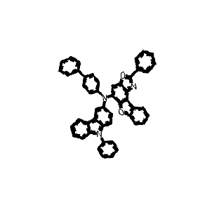 c1ccc(-c2ccc(N(c3ccc4c(c3)c3ccccc3n4-c3ccccc3)c3cc4oc(-c5ccccc5)nc4c4c3oc3ccccc34)cc2)cc1